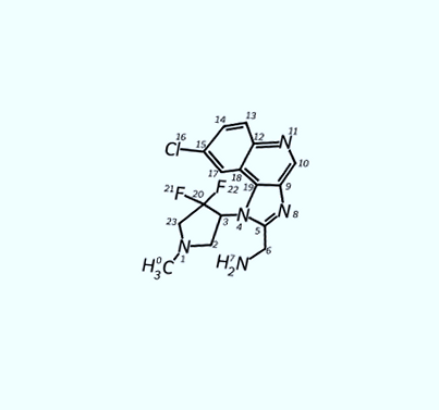 CN1CC(n2c(CN)nc3cnc4ccc(Cl)cc4c32)C(F)(F)C1